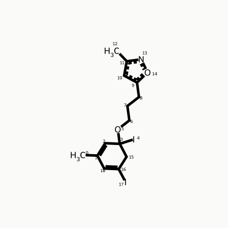 CC1=CC(I)(OCCCc2cc(C)no2)CC(I)=C1